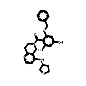 O=C(c1c(O)cc(O)cc1OCc1ccccc1)N1CCc2nccc(N[C@H]3CCOC3)c2C1